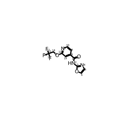 O=C(Nc1ncco1)c1ccnc(OCC(F)(F)F)c1